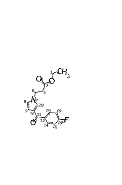 CCOC(=O)CCn1ccc(C(=O)c2ccc(F)cc2)c1